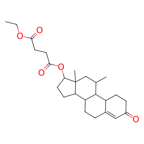 CCOC(=O)CCC(=O)OC1CCC2C3CCC4=CC(=O)CCC4C3C(C)CC12C